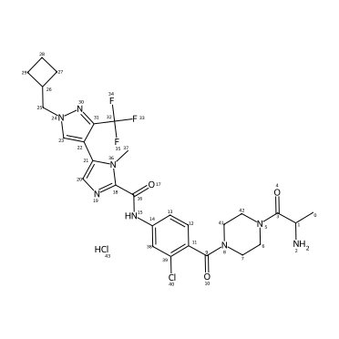 CC(N)C(=O)N1CCN(C(=O)c2ccc(NC(=O)c3ncc(-c4cn(CC5CCC5)nc4C(F)(F)F)n3C)cc2Cl)CC1.Cl